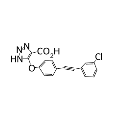 O=C(O)c1nn[nH]c1Oc1ccc(C#Cc2cccc(Cl)c2)cc1